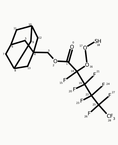 O=C(OCC12CC3CC(CC(C3)C1)C2)C(F)(OOS)C(F)(F)C(F)(F)C(F)(F)C(F)(F)F